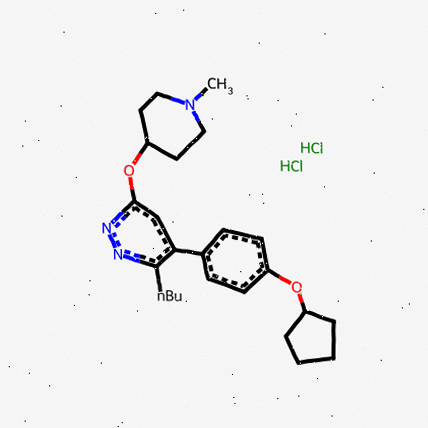 CCCCc1nnc(OC2CCN(C)CC2)cc1-c1ccc(OC2CCCC2)cc1.Cl.Cl